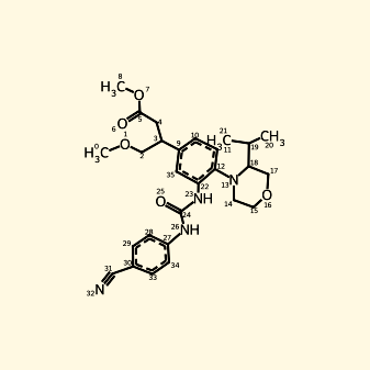 COCC(CC(=O)OC)c1ccc(N2CCOCC2C(C)C)c(NC(=O)Nc2ccc(C#N)cc2)c1